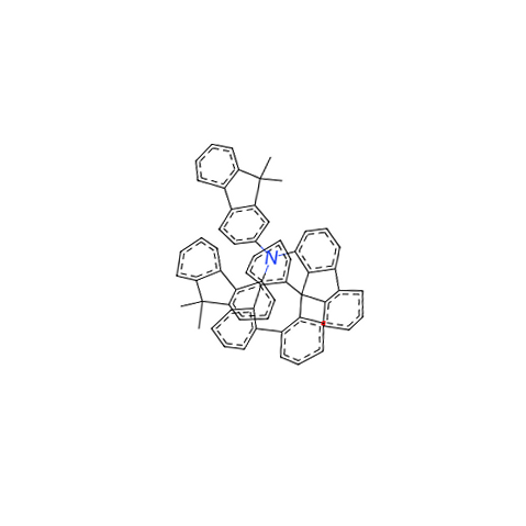 CC1(C)c2ccccc2-c2ccc(N(c3cccc4c3-c3ccccc3C4(C)C)c3cccc4c3C3(c5ccccc5-c5ccccc5-c5ccccc53)c3ccccc3-4)cc21